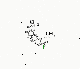 CCC/C=C(/F)c1ccc(Cc2ccc(CCC)cc2)cc1